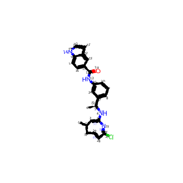 CC1\C=C(N[C@@H](C)c2cccc(NC(=O)c3ccc4[nH]ccc4c3)c2)/N=C(Cl)\C=C\C1